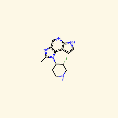 Cc1nc2cnc3[nH]ccc3c2n1[C@@H]1CCNC[C@H]1F